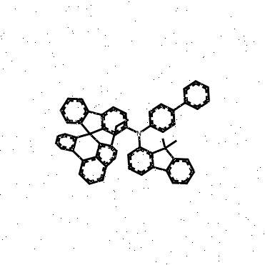 CCc1ccc2cccc3c2c1C1(c2ccccc2-c2ccc(N(c4ccc(-c5ccccc5)cc4)c4cccc5c4C(C)(C)c4ccccc4-5)cc21)c1ccccc1-3